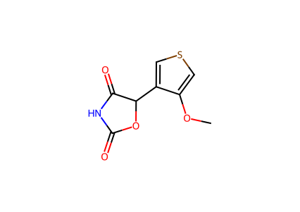 COc1cscc1C1OC(=O)NC1=O